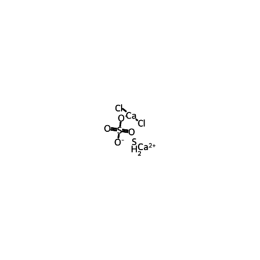 O=S(=O)([O-])[O-].S.[Ca+2].[Cl][Ca][Cl]